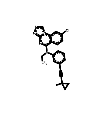 CC1(C#Cc2cccc(N(CC(F)(F)F)c3nc4nncn4c4cc(Cl)ccc34)c2)CC1